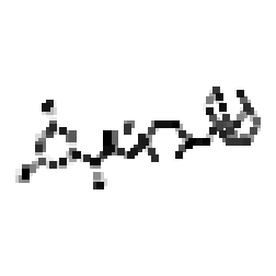 O=C(NCC1(F)CCN(CC23CC4CC(CC(C4)C2)C3)CC1)c1cc(Cl)cc(Cl)c1